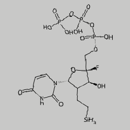 O=c1ccn([C@@H]2O[C@](F)(COP(=O)(O)OP(=O)(O)OP(=O)(O)O)[C@@H](O)C2CC[SiH3])c(=O)[nH]1